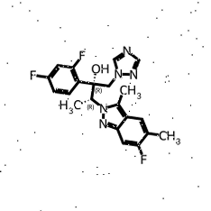 Cc1cc2c(C)n([C@H](C)[C@](O)(Cn3cncn3)c3ccc(F)cc3F)nc2cc1F